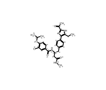 CCc1[nH]c(C(C)=O)nc1-c1ccc(C[C@@H](CC(=O)NC)NC(=O)c2ccc(OC(C)C)c(Cl)c2)cc1